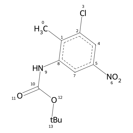 Cc1c(Cl)cc([N+](=O)[O-])cc1NC(=O)OC(C)(C)C